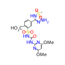 COc1cc(OC)nc(NC(=O)NS(=O)(=O)c2cc(C(=NN)NS(C)(=O)=O)ccc2C(=O)O)n1